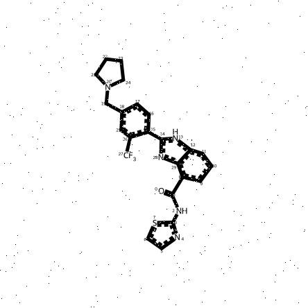 O=C(Nc1nccs1)c1cccc2[nH]c(-c3ccc(CN4CCCC4)cc3C(F)(F)F)nc12